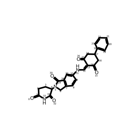 O=C1CCC(N2Cc3ccc(NC=C4C(=O)CC(c5ccccc5)CC4=O)cc3C2=O)C(=O)N1